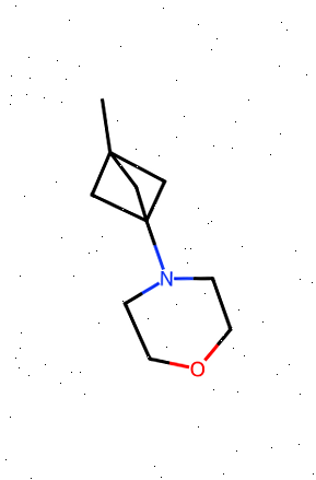 CC12CC(N3CCOCC3)(C1)C2